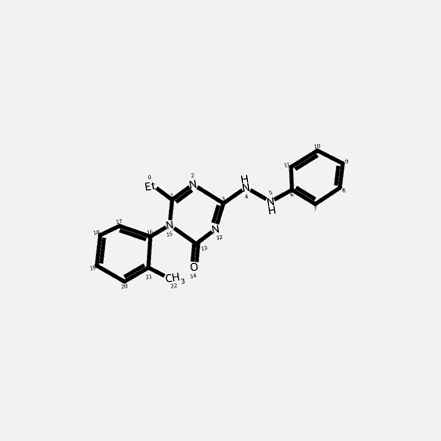 CCc1nc(NNc2ccccc2)nc(=O)n1-c1ccccc1C